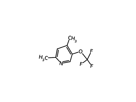 Cc1cc(C)c(OC(F)(F)F)cn1